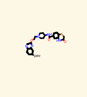 CSc1ccc2ncc(OCCN3CCC(NC(=O)c4ccc5c(c4)NC(=O)CS5)CC3)nc2c1